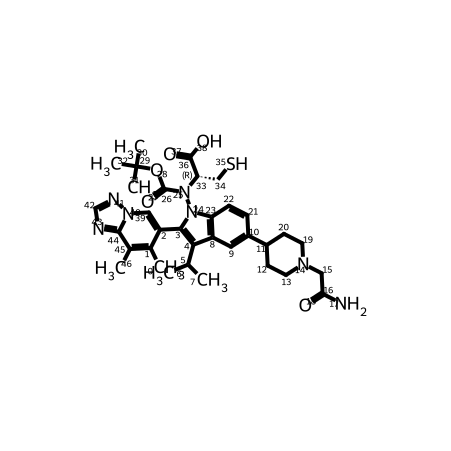 Cc1c(-c2c(C(C)C)c3cc(C4CCN(CC(N)=O)CC4)ccc3n2N(C(=O)OC(C)(C)C)[C@@H](CS)C(=O)O)cn2ncnc2c1C